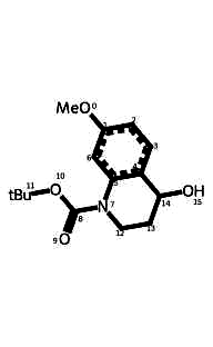 COc1ccc2c(c1)N(C(=O)OC(C)(C)C)CCC2O